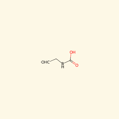 O=[C]CBC(=O)O